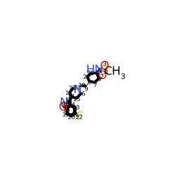 CS(=O)(=O)N[C@H]1CC[C@H](CCN2CCC(c3noc4ccc(F)cc34)CC2)CC1